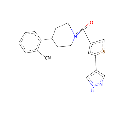 N#Cc1ccccc1C1CCN(C(=O)c2csc(-c3cn[nH]c3)c2)CC1